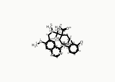 COc1cc2ncnc(Nc3cccc(Cl)c3F)c2cc1CN(C)C(C)(C)C1(C(N)=O)CCNCC1